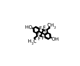 C=CCc1cc(O)ccc1C(c1ccc(O)cc1CC=C)(C(F)(F)F)C(F)(F)F